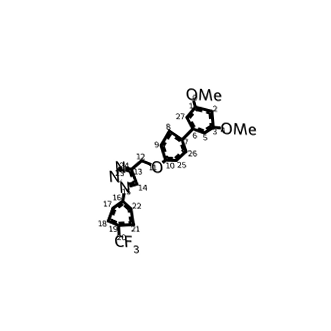 COc1cc(OC)cc(-c2ccc(OCc3cn(-c4ccc(C(F)(F)F)cc4)nn3)cc2)c1